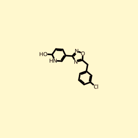 OC1C=CC(c2noc(Cc3cccc(Cl)c3)n2)=CN1